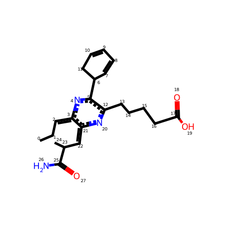 CC/C=c1/nc(C2C=CC=CC2)c(CCCCC(=O)O)n/c1=C/C(C)C(N)=O